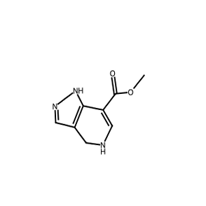 COC(=O)C1=CNCc2cn[nH]c21